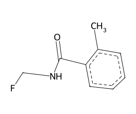 Cc1ccccc1C(=O)NCF